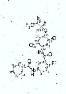 O=C(Nc1ccc(F)c(C(=O)Nc2cc(Cl)c(OC(F)(F)C(F)C(F)(F)F)cc2Cl)c1)c1ccccc1